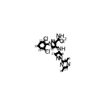 Cc1cnc(C)c(-n2cc(Nc3cn(-c4c(Cl)cccc4Cl)nc3C(N)=O)cn2)n1